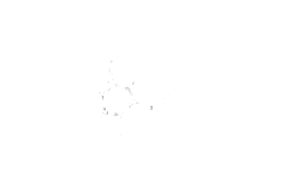 Cc1cnc(Cl)cc1CCl